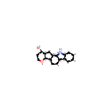 Brc1ccoc2c3ccc4c5ccccc5[nH]c4c3cc1-2